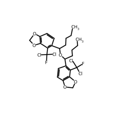 CCCCC(OC(CCCC)c1ccc2c(c1C(F)(Cl)Cl)OCO2)c1ccc2c(c1C(F)(Cl)Cl)OCO2